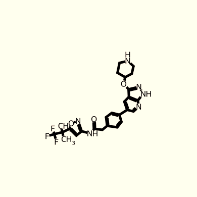 CC(C)(c1cc(NC(=O)Cc2ccc(-c3cnc4[nH]nc(OC5CCNCC5)c4c3)cc2)no1)C(F)(F)F